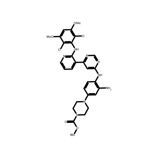 COc1cc(OC)c(Cl)c(Nc2ncccc2-c2cc(Nc3ccc(N4CCN(C(=O)OC(C)(C)C)CC4)cc3N)ncn2)c1Cl